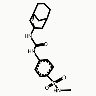 CNS(=O)(=O)c1ccc(NC(=O)NC23CC4CCCC(C4)(C2)C3)cc1